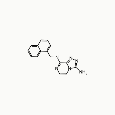 Nc1nnc2c(NCc3cccc4ccccc34)nccn12